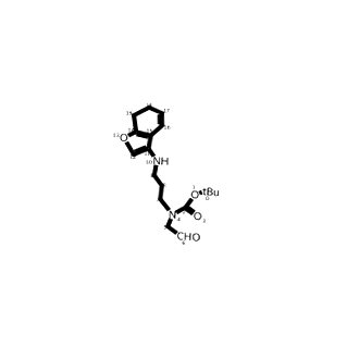 CC(C)(C)OC(=O)N(CC=O)CCCNc1coc2c1C=CCC2